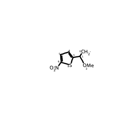 [CH2]C(OC)c1ccc([N+](=O)[O-])s1